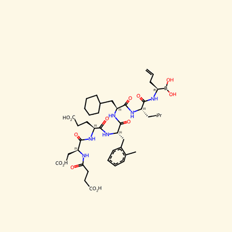 C=CC[C@H](NC(=O)[C@H](CC(C)C)NC(=O)[C@H](CC1CCCCC1)NC(=O)[C@H](Cc1ccccc1C)NC(=O)[C@H](CCC(=O)O)NC(=O)[C@H](CC(=O)O)NC(=O)CCC(=O)O)B(O)O